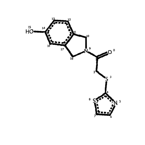 O=C(CSc1nccs1)N1Cc2ccc(O)cc2C1